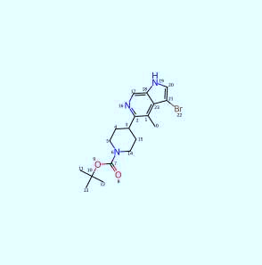 Cc1c(C2CCN(C(=O)OC(C)(C)C)CC2)ncc2[nH]cc(Br)c12